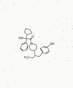 CC[C](Cc1ccc(O)cc1)C1CCN(C(=O)C(O)(c2ccccc2)C2CCCC2)CC1